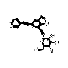 OC[C@H]1O[C@H](C#Cc2cc(C#Cc3cccnc3)cc3cn[nH]c23)[C@@H](O)[C@@H](O)[C@@H]1O